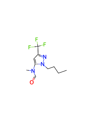 CCCCn1nc(C(F)(F)F)cc1N(C)C=O